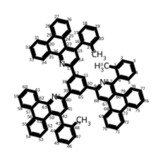 Cc1ccccc1-c1nc(-c2cc(-c3cc(-c4ccccc4C)c4c5ccccc5c5ccccc5c4n3)cc(-c3cc(-c4ccccc4C)c4c5ccccc5c5ccccc5c4n3)c2)cc2c3ccccc3c3ccccc3c12